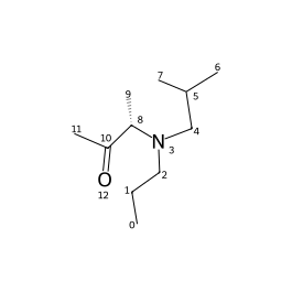 CCCN(CC(C)C)[C@@H](C)C(C)=O